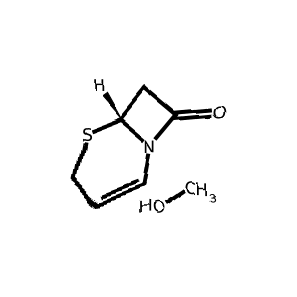 CO.O=C1C[C@H]2SCC=CN12